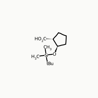 CC(C)(C)[Si](C)(C)O[C@@H]1CCC[C@H]1C(=O)O